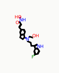 O=C(C=Cc1ccc2c(c1)CCC2N(CCO)CCCc1c[nH]c2ccc(F)cc12)NO